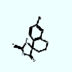 O=C1NC(=O)C2(CCSc3cc(Br)ccc32)N1